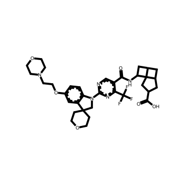 O=C(NC1CC2CC3CC(C(=O)O)CC321)c1cnc(N2CC3(CCOCC3)c3cc(OCCN4CCOCC4)ccc32)nc1C(F)(F)F